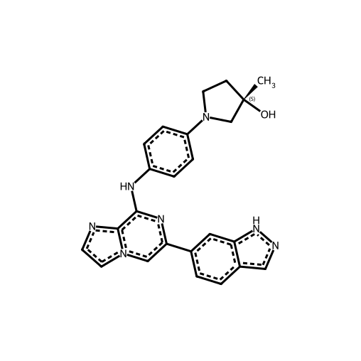 C[C@]1(O)CCN(c2ccc(Nc3nc(-c4ccc5cn[nH]c5c4)cn4ccnc34)cc2)C1